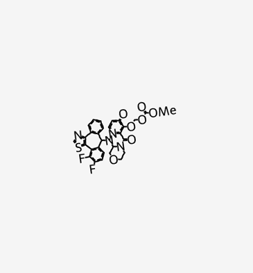 COC(=O)OCOc1c2n(ccc1=O)N(C1c3ccccc3-c3ncsc3-c3c1ccc(F)c3F)C1COCCN1C2=O